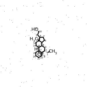 CC[C@H]1CC2C3CCC(CCO)C3(C)CC[C@@H]2C2(C)CCCCC12